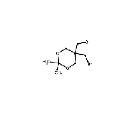 CC1(C)OCC(CBr)(CBr)CO1